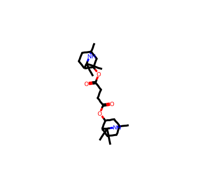 CC12CCC(C(OC(=O)CCC(=O)OC3CC4(C)CCC3C(C)(C)N4)C1)C(C)(C)N2